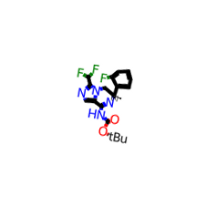 CC(C)(C)OC(=O)NC1=N[C@](C)(c2ccccc2F)Cn2c1cnc2C(F)F